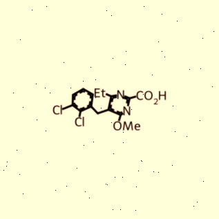 CCc1nc(C(=O)O)nc(OC)c1Cc1cccc(Cl)c1Cl